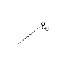 CCCCCCCCCCCCCCCCCCC(=O)OCCl